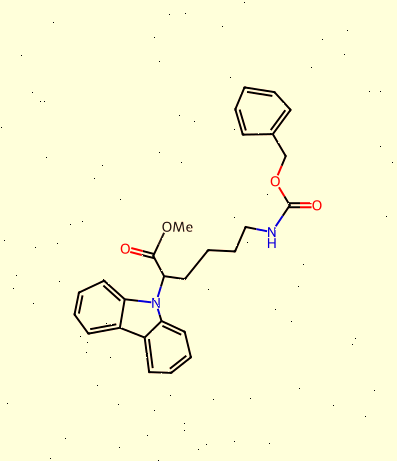 COC(=O)C(CCCCNC(=O)OCc1ccccc1)n1c2ccccc2c2ccccc21